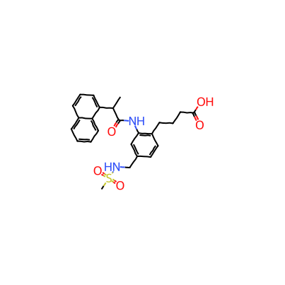 CC(C(=O)Nc1cc(CNS(C)(=O)=O)ccc1CCCC(=O)O)c1cccc2ccccc12